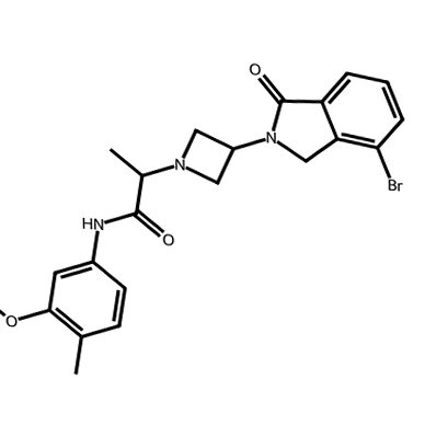 COc1cc(NC(=O)C(C)N2CC(N3Cc4c(Br)cccc4C3=O)C2)ccc1C